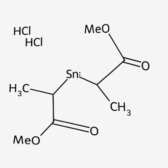 COC(=O)[CH](C)[Sn][CH](C)C(=O)OC.Cl.Cl